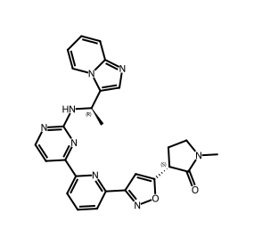 C[C@@H](Nc1nccc(-c2cccc(-c3cc([C@@H]4CCN(C)C4=O)on3)n2)n1)c1cnc2ccccn12